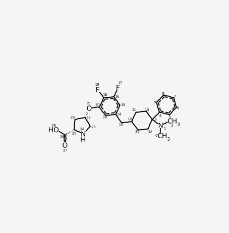 CN(C)C1(c2ccccc2)CCC(Cc2cc(F)c(F)c(O[C@@H]3CN[C@H](C(=O)O)C3)c2)CC1